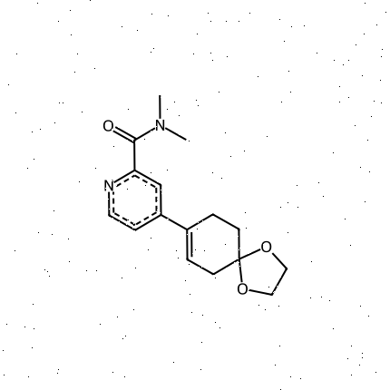 CN(C)C(=O)c1cc(C2=CCC3(CC2)OCCO3)ccn1